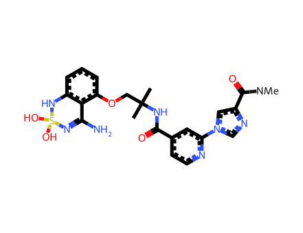 CNC(=O)c1cn(-c2cc(C(=O)NC(C)(C)COc3cccc4c3C(N)=NS(O)(O)N4)ccn2)cn1